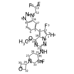 [2H]c1c(F)c(-c2ccc3nnn(CC(F)F)c3c2)c2c(OC)nc(N[C@@H]3CCN(C4COC4)C[C@@H]3F)nn12